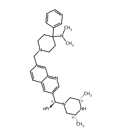 CCC[C@@H](c1cnc2cc(CN3CCC(c4ccccc4)(N(C)C)CC3)ccc2c1)N1C[C@@H](C)N[C@@H](C)C1